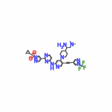 CN(C)CC(N)C1CCN(c2cc(Nc3ccnc(-c4cnn(S(=O)(=O)C5CC5)c4)n3)ncc2C#Cc2cnn(C(F)(F)F)c2)CC1